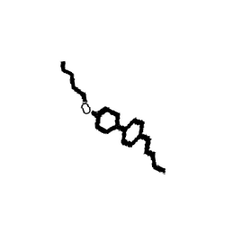 CCCC=CC1CCC(C2CCC(OCCCCC)CC2)CC1